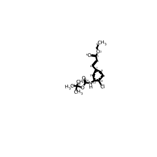 CCOC(=O)/C=C/c1ccc(Cl)c(NC(=O)OC(C)(C)C)c1